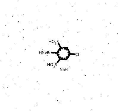 O=S(=O)(O)c1cc(Cl)cc(S(=O)(=O)O)c1Br.[NaH].[NaH]